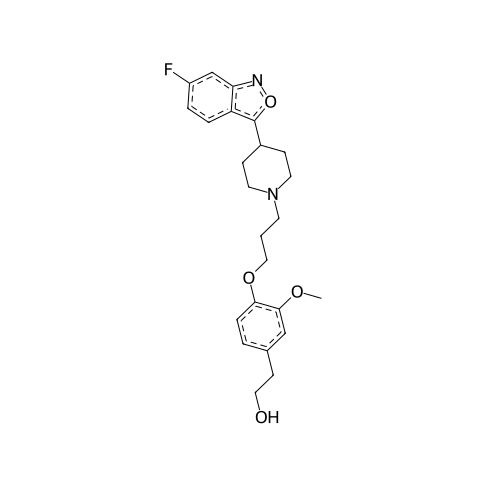 COc1cc(CCO)ccc1OCCCN1CCC(c2onc3cc(F)ccc23)CC1